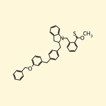 COC(=S)c1ccccc1CN1c2ccccc2CC1Cc1ccc(Cc2cccc(OCc3ccccc3)c2)cc1